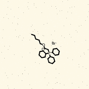 CCCCCOC(=O)C[P+](C1CCCCC1)(C1CCCCC1)C1CCCCC1.[Br-]